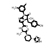 Cc1cc(I)cc(N2C(=O)[C@@](C)(Cc3ccc(C#N)cc3)n3c(C(=O)N[C@@H](C)C(=O)N4CCC[C@@H](c5nn[nH]n5)C4)cnc32)c1